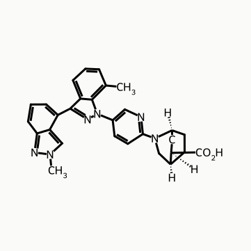 Cc1cccc2c(-c3cccc4nn(C)cc34)nn(-c3ccc(N4C[C@@H]5CC[C@H]4C[C@H]5C(=O)O)nc3)c12